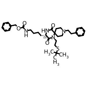 CC(C)(C)SCCN1C(=O)[C@H](CCCCNC(=O)OCc2ccccc2)NC(=O)C12CCN(CCc1ccccc1)CC2